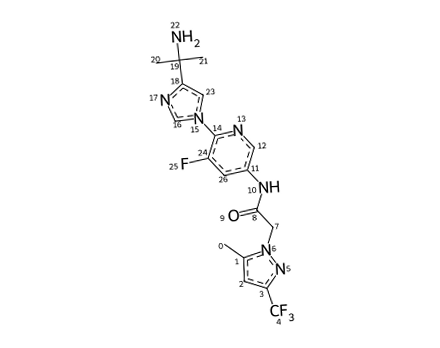 Cc1cc(C(F)(F)F)nn1CC(=O)Nc1cnc(-n2cnc(C(C)(C)N)c2)c(F)c1